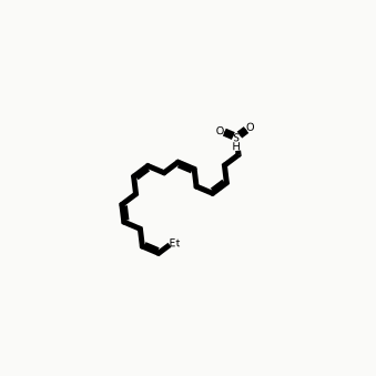 CC/C=C\C/C=C\C/C=C\C/C=C\C/C=C\CC[SH](=O)=O